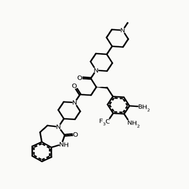 Bc1cc(C[C@@H](CC(=O)N2CCC(N3CCc4ccccc4NC3=O)CC2)C(=O)N2CCC(C3CCN(C)CC3)CC2)cc(C(F)(F)F)c1N